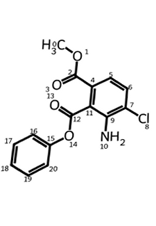 COC(=O)c1ccc(Cl)c(N)c1C(=O)Oc1ccccc1